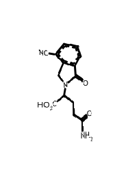 N#Cc1cccc2c1CN(C(CCC(N)=O)C(=O)O)C2=O